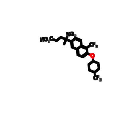 CC(CCC(=O)O)(c1ccc2c(C(F)(F)F)c(O[C@H]3CC[C@H](C(F)(F)F)CC3)ccc2c1)[N+](=O)[O-]